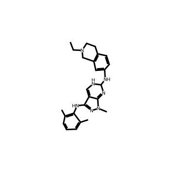 CCN1CCc2ccc(NC3N=c4c(c(Nc5c(C)cccc5C)nn4C)=CN3)cc2C1